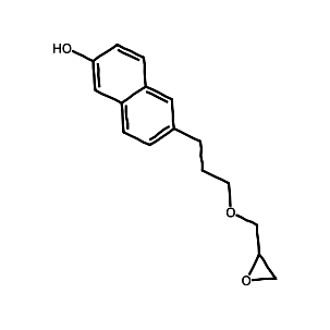 Oc1ccc2cc(CCCOCC3CO3)ccc2c1